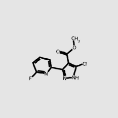 COC(=O)c1c(-c2cccc(F)n2)n[nH]c1Cl